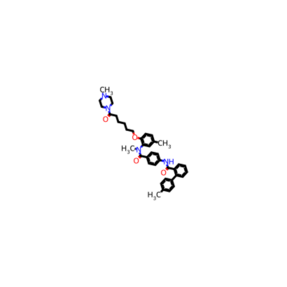 Cc1ccc(-c2ccccc2C(=O)Nc2ccc(C(=O)N(C)c3cc(C)ccc3OCCCCCC(=O)N3CCN(C)CC3)cc2)cc1